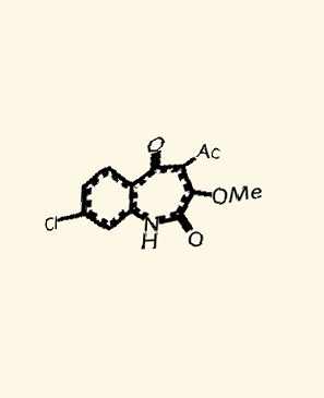 COc1c(C(C)=O)c(=O)c2ccc(Cl)cc2[nH]c1=O